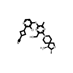 Cc1nc(N2CCC3(CC2)CO[C@@H](C)[C@H]3N)c(CO)nc1Sc1ccnc(C2CC(C#N)C2)c1Cl